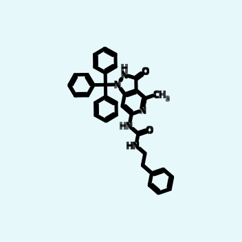 Cc1nc(NC(=O)NCCc2ccccc2)cc2c1c(=O)[nH]n2C(c1ccccc1)(c1ccccc1)c1ccccc1